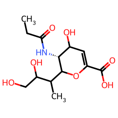 CCC(=O)N[C@@H]1C(O)C=C(C(=O)O)OC1C(C)C(O)CO